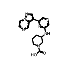 O=C(O)N1CCCC(Nc2cncc(-c3cnn4ccncc34)n2)C1